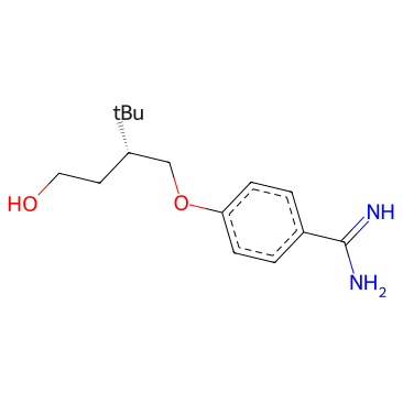 CC(C)(C)[C@@H](CCO)COc1ccc(C(=N)N)cc1